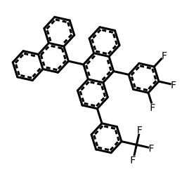 Fc1cc(-c2c3ccccc3c(-c3cc4ccccc4c4ccccc34)c3ccc(-c4cccc(C(F)(F)F)c4)cc23)cc(F)c1F